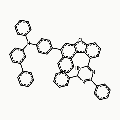 c1ccc(C2=NC(c3ccccc3)NC(c3cccc4oc5cc(-c6ccc(N(c7ccccc7)c7cccc(-c8ccccc8)c7)cc6)c6ccccc6c5c34)=N2)cc1